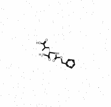 CC(C[C@H](NC(=O)OCc1ccccc1)C(N)=O)C(=O)O